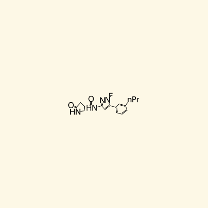 CCCc1cccc(-c2cc(NC(=O)[C@@H]3CNC(=O)C3)nn2F)c1